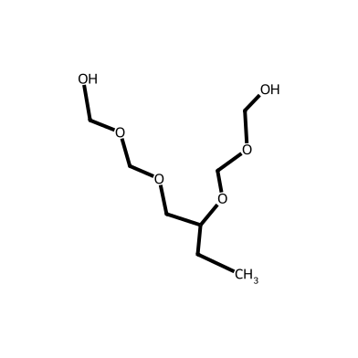 CCC(COCOCO)OCOCO